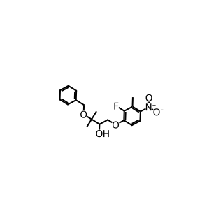 Cc1c([N+](=O)[O-])ccc(OCC(O)C(C)(C)OCc2ccccc2)c1F